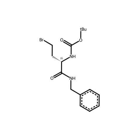 CC(C)(C)OC(=O)N[C@@H](CCBr)C(=O)NCc1ccccc1